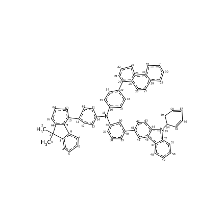 CC1(C)c2ccccc2-c2c(-c3ccc(N(c4ccc(-c5cccc6c5ccc5ccccc56)cc4)c4cccc(-c5ccc6c(c5)c5ccccc5n6C5C=CC=CC5)c4)cc3)cccc21